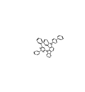 c1ccc(-c2ccc(-n3c4ccccc4c4c3ccc3c5ccccc5n(-c5cc(-c6ccccc6)nc(-c6ccccc6)n5)c34)cc2)cc1